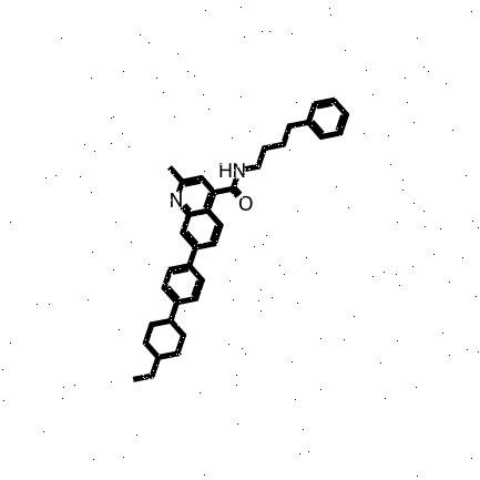 CCC1CCC(c2ccc(-c3ccc4c(C(=O)NCCCCc5ccccc5)cc(C)nc4c3)cc2)CC1